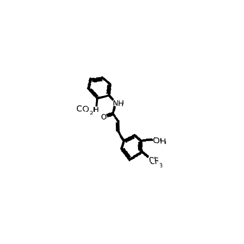 O=C(/C=C/c1ccc(C(F)(F)F)c(O)c1)Nc1ccccc1C(=O)O